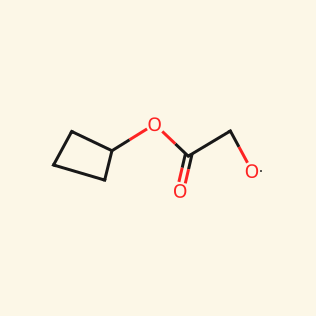 [O]CC(=O)OC1CCC1